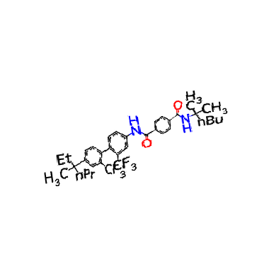 CCCCC(C)(C)NC(=O)c1ccc(C(=O)Nc2ccc(-c3ccc(C(C)(CC)CCC)cc3C(F)(F)F)c(C(F)(F)F)c2)cc1